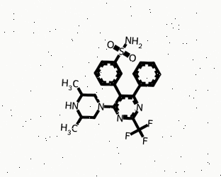 CC1CN(c2nc(C(F)(F)F)nc(-c3ccccc3)c2-c2cccc(S(N)(=O)=O)c2)CC(C)N1